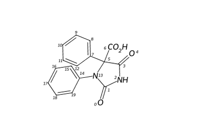 O=C1NC(=O)C(C(=O)O)(c2ccccc2)N1c1ccccc1